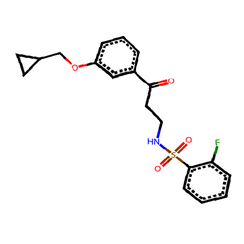 O=C(CCNS(=O)(=O)c1ccccc1F)c1cccc(OCC2CC2)c1